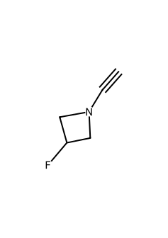 C#CN1CC(F)C1